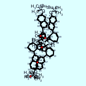 CC[SiH]1[C]2(C(C)=CC3=C2C=CC=CC3c2ccc3cc(O[Si](C)(C)C(C)(C)C)ccc3c2)[Zr]2([Cl])([Cl])([C]13C(C)=CC1=C3C=CC=CC1c1ccc3cc(O[Si](C)(C)C(C)(C)C)ccc3c1)[C]1(C(C)=CC3=C1C=CC=CC3c1ccc3cc(O[Si](C)(C)C(C)(C)C)ccc3c1)[SiH](CC)[C]21C(C)=CC2=C1C=CC=CC2c1ccc2cc(O[Si](C)(C)C(C)(C)C)ccc2c1